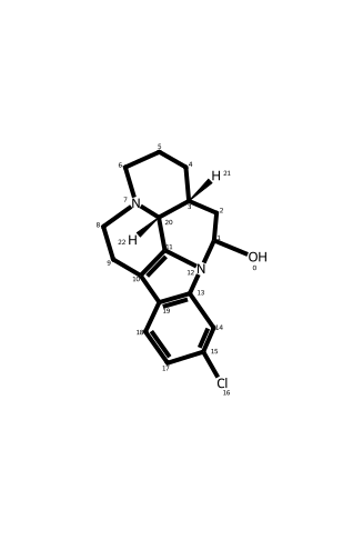 OC1C[C@H]2CCCN3CCc4c(n1c1cc(Cl)ccc41)[C@@H]23